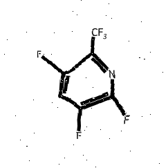 Fc1cc(F)c(C(F)(F)F)nc1F